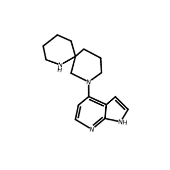 c1cc(N2CCCC3(CCCCN3)C2)c2cc[nH]c2n1